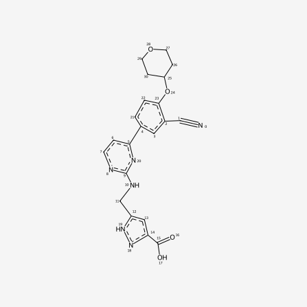 N#Cc1cc(-c2ccnc(NCc3cc(C(=O)O)n[nH]3)n2)ccc1OC1CCOCC1